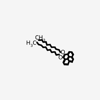 CCCCCCCCCCCCOc1c(OCCCCCCCCCCCC)c2cccc3ccc4cccc1c4c32